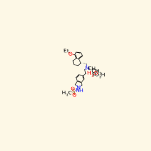 CCOc1cccc2c1CCC[C@H]2CN(C)CCc1ccc2c(c1)CN(NS(C)(=O)=O)C2.CS(=O)(=O)O.O